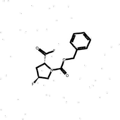 O=C(F)[C@H]1C[C@H](F)CN1C(=O)OCc1ccccc1